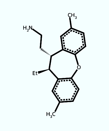 CC[C@@H]1c2cc(C)ccc2Oc2ccc(C)cc2[C@H]1CCN